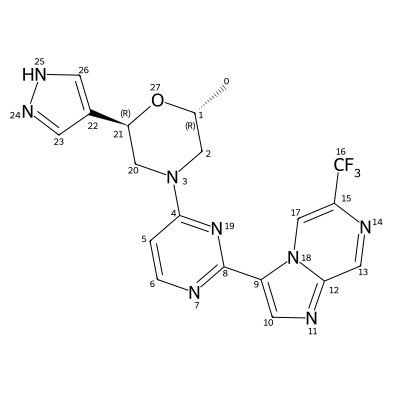 C[C@@H]1CN(c2ccnc(-c3cnc4cnc(C(F)(F)F)cn34)n2)C[C@@H](c2cn[nH]c2)O1